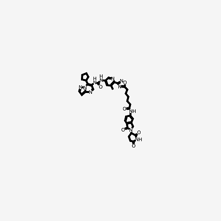 Cc1cc(NC(=O)Nc2cnc3ccnn3c2C2CCCC2)cnc1-c1noc(CCCCCC(=O)Nc2ccc3c(c2)CN(C2CCC(=O)NC2=O)C3=O)n1